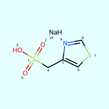 O=S(=O)(O)Cc1cscn1.[NaH]